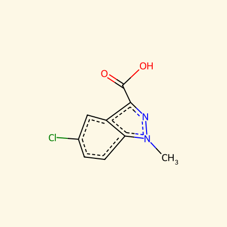 Cn1nc(C(=O)O)c2cc(Cl)ccc21